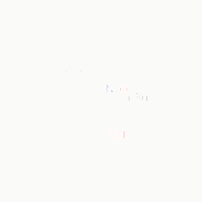 CCCCON=C(C)C(Cc1ccc(O)cc1)C(=O)O